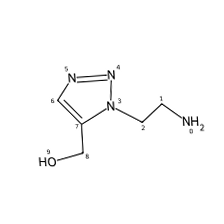 NCCn1nncc1CO